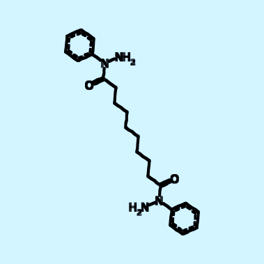 NN(C(=O)CCCCCCCCC(=O)N(N)c1ccccc1)c1ccccc1